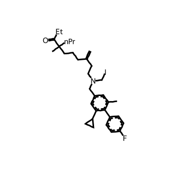 C=C(CCCC(C)(CCC)C(=O)CC)CCN(CI)Cc1cc(C)c(-c2ccc(F)cc2)c(C2CC2)c1